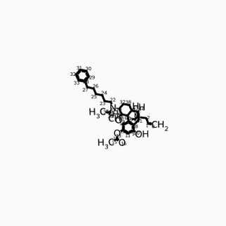 C=CCN1CC[C@]23c4c5c(O)cc(OC(C)=O)c4O[C@H]2[C@H](N(CCCCCCc2ccccc2)C(C)C)CC[C@H]3[C@H]1C5